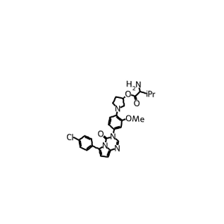 COc1cc(-n2cnc3ccc(-c4ccc(Cl)cc4)n3c2=O)ccc1N1CC[C@@H](OC(=O)C(N)C(C)C)C1